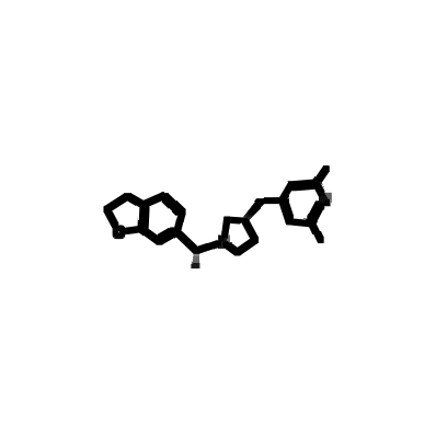 Cc1cc(C[C@H]2CCN([C@H](C)c3ccc4c(c3)OCC4)C2)cc(C)n1